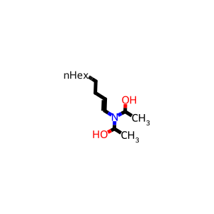 CCCCCCCCC=CN(C(C)O)C(C)O